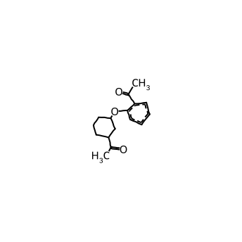 CC(=O)c1ccccc1OC1CCCC(C(C)=O)C1